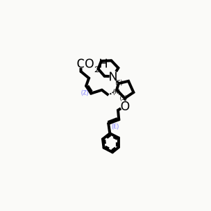 O=C(O)CC/C=C\CC[C@H]1[C@@H](OC/C=C/c2ccccc2)CC[C@@H]1N1CCCCC1